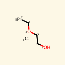 CCCCOCCO.[C]